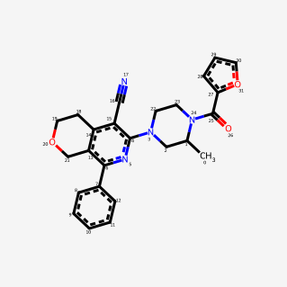 CC1CN(c2nc(-c3ccccc3)c3c(c2C#N)CCOC3)CCN1C(=O)c1ccco1